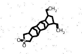 C=CC1CC(C=C)C2C3CC(C12)C1C2CC(C4CS(=O)(=O)CC42)C31